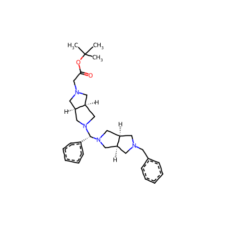 CC(C)(C)OC(=O)CN1C[C@@H]2CN([C@@H](c3ccccc3)N3C[C@H]4CN(Cc5ccccc5)C[C@H]4C3)C[C@@H]2C1